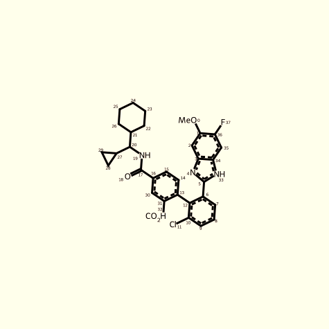 COc1cc2nc(-c3cccc(Cl)c3-c3ccc(C(=O)NC(C4CCCCC4)C4CC4)cc3C(=O)O)[nH]c2cc1F